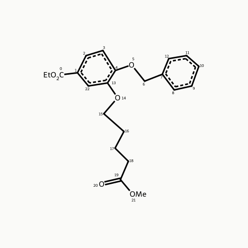 CCOC(=O)c1ccc(OCc2ccccc2)c(OCCCCC(=O)OC)c1